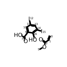 C=CC(=O)OC.O=C(O)c1cc(I)cc(I)c1O